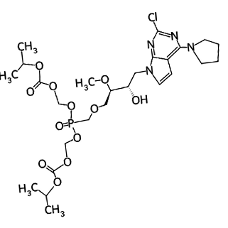 CO[C@H](COCP(=O)(OCOC(=O)OC(C)C)OCOC(=O)OC(C)C)[C@@H](O)Cn1ccc2c(N3CCCC3)nc(Cl)nc21